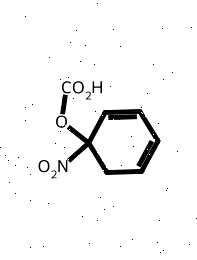 O=C(O)OC1([N+](=O)[O-])C=CC=CC1